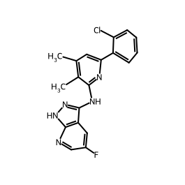 Cc1cc(-c2ccccc2Cl)nc(Nc2n[nH]c3ncc(F)cc23)c1C